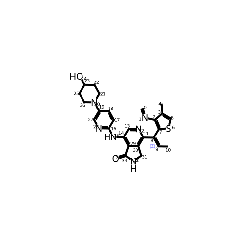 C=Nc1c(C)csc1/C(=C\C)c1ncc(Nc2ccc(N3CCC(O)CC3)cn2)c2c1CNC2=O